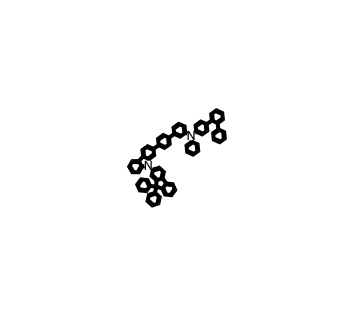 c1ccc(-c2ccccc2-c2ccc(N(c3ccccc3)c3cccc(-c4ccc(-c5ccc6c7ccccc7n(-c7ccc8c(c7)C(c7ccccc7)(c7ccccc7)c7ccccc7-8)c6c5)cc4)c3)cc2)cc1